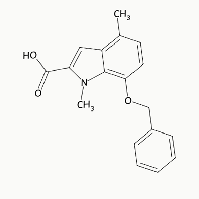 Cc1ccc(OCc2ccccc2)c2c1cc(C(=O)O)n2C